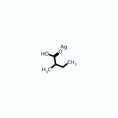 CCC(C)C(=O)O.[Ag]